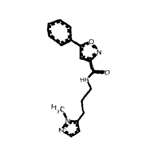 Cn1nccc1CCCNC(=O)c1cc(-c2ccccc2)on1